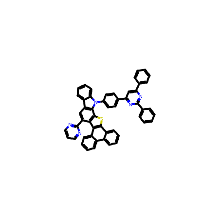 c1ccc(-c2cc(-c3ccc(-n4c5ccccc5c5cc(-c6ncccn6)c6c(sc7c8ccccc8c8ccccc8c76)c54)cc3)nc(-c3ccccc3)n2)cc1